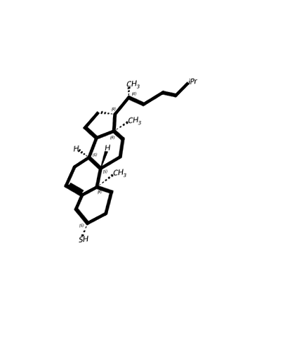 CC(C)CCC[C@@H](C)[C@H]1CCC2[C@@H]3CC=C4C[C@@H](S)CC[C@]4(C)[C@H]3CC[C@@]21C